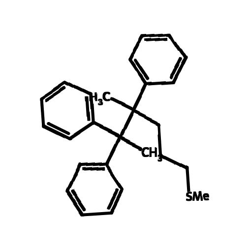 CSCCCC(C)(c1ccccc1)C(C)(c1ccccc1)c1ccccc1